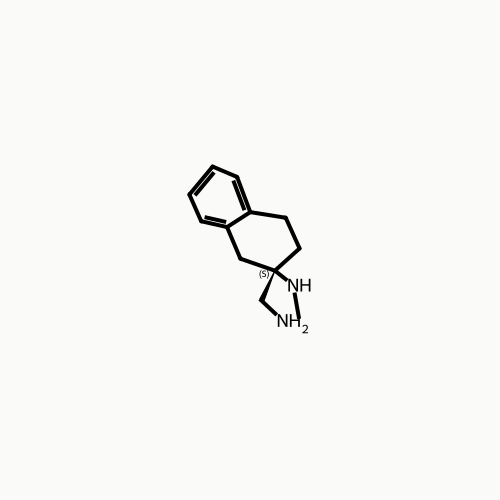 CN[C@@]1(CN)CCc2ccccc2C1